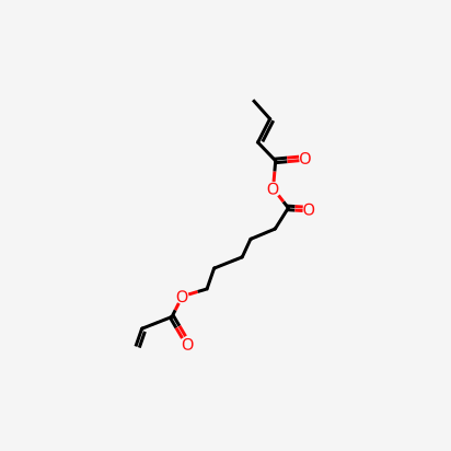 C=CC(=O)OCCCCCC(=O)OC(=O)C=CC